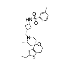 CCc1cc2c(s1)CCO[C@@]21CCN(C[C@H]2C[C@@H](NS(=O)(=O)c3cccc(C)c3)C2)[C@@H](C)C1